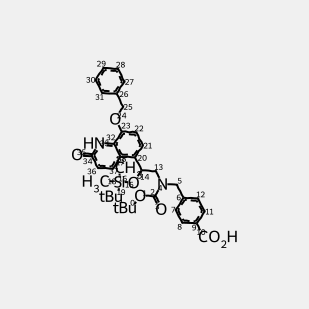 CC(C)(C)OC(=O)N(Cc1ccc(C(=O)O)cc1)CC(O[Si](C)(C)C(C)(C)C)c1ccc(OCc2ccccc2)c2[nH]c(=O)ccc12